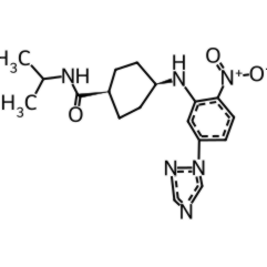 CC(C)NC(=O)[C@H]1CC[C@@H](Nc2cc(-n3cncn3)ccc2[N+](=O)[O-])CC1